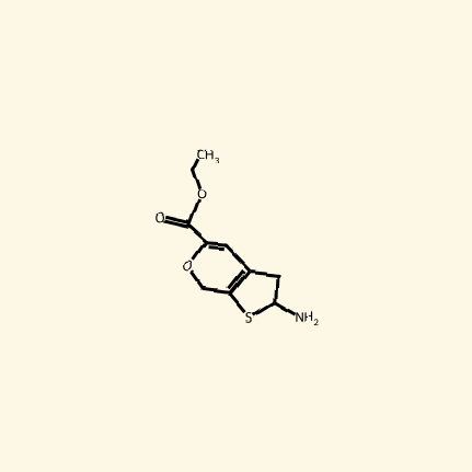 CCOC(=O)C1=CC2=C(CO1)SC(N)C2